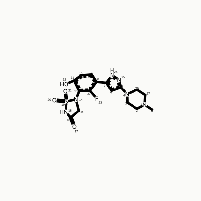 CN1CCN(c2cc(-c3ccc(O)c(N4CC(=O)NS4(=O)=O)c3F)[nH]n2)CC1